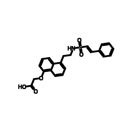 O=C(O)COc1cccc2c(CCNS(=O)(=O)C=Cc3ccccc3)cccc12